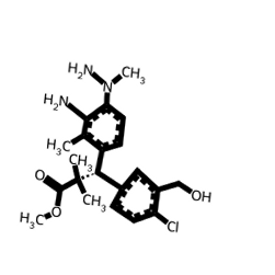 COC(=O)C(C)(C)[C@@H](c1ccc(Cl)c(CO)c1)c1ccc(N(C)N)c(N)c1C